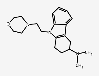 CN(C)C1CCc2c(c3ccccc3n2CCN2CCOCC2)C1